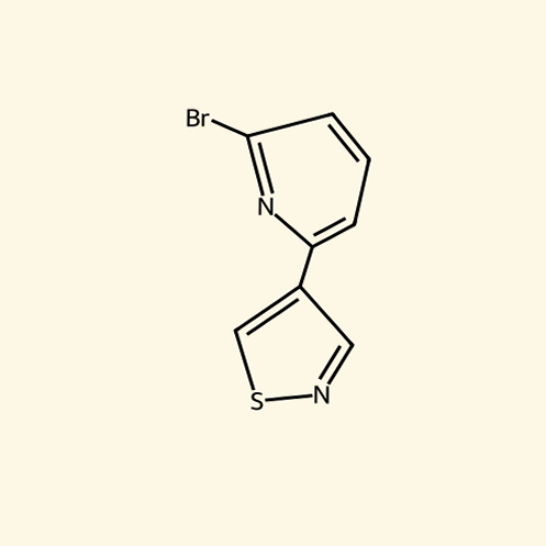 Brc1cccc(-c2cnsc2)n1